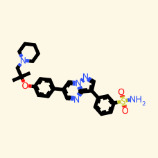 CC(C)(CN1CCCCC1)Oc1ccc(-c2cnc3c(-c4cccc(S(N)(=O)=O)c4)cnn3c2)cc1